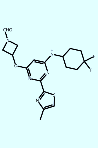 Cc1csc(-c2nc(NC3CCC(F)(F)CC3)cc(OC3CN(C=O)C3)n2)n1